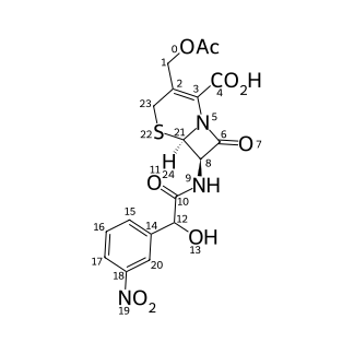 CC(=O)OCC1=C(C(=O)O)N2C(=O)[C@@H](NC(=O)C(O)c3cccc([N+](=O)[O-])c3)[C@H]2SC1